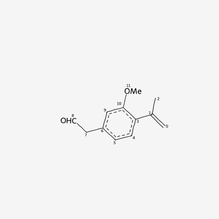 C=C(C)c1ccc(CC=O)cc1OC